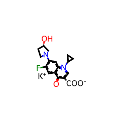 O=C([O-])c1cn(C2CC2)c2cc(N3CC[C@@H](O)C3)c(F)cc2c1=O.[K+]